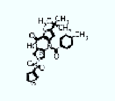 CC(C)(C)c1cc(N(C(=O)[C@H]2CC[C@H](C)CC2)[C@H]2CCN(S(=O)(=O)c3ccsc3)C2)c(C(=O)O)s1